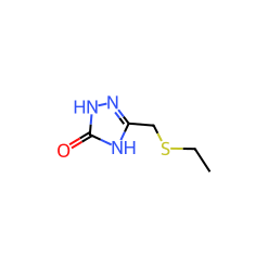 CCSCc1n[nH]c(=O)[nH]1